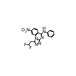 O=[N+]([O-])c1ccc2c(Nc3ccccc3)nc3nnc(CC(F)F)n3c2c1